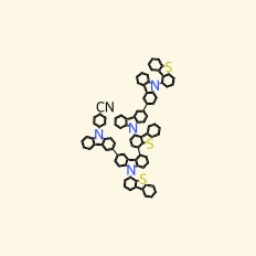 N#Cc1ccc(-n2c3ccccc3c3cc(-c4ccc5c(c4)c4c(-c6ccc(-n7c8ccccc8c8cc(-c9ccc%10c(c9)c9ccccc9n%10-c9cccc%10sc%11ccccc%11c9%10)ccc87)c7c6sc6ccccc67)cccc4n5-c4cccc5c4sc4ccccc45)ccc32)cc1